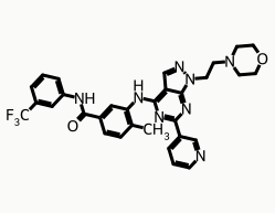 Cc1ccc(C(=O)Nc2cccc(C(F)(F)F)c2)cc1Nc1nc(-c2cccnc2)nc2c1cnn2CCN1CCOCC1